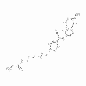 C=CC(=O)OCCCCCCCc1ccc(C(=O)Oc2ccc3cc(C#N)ccc3c2)cc1